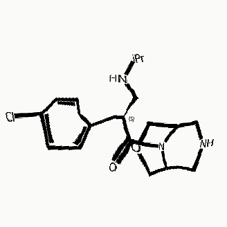 CC(C)NC[C@@H](C(=O)N1C2CNCC1COC2)c1ccc(Cl)cc1